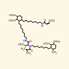 C=C(C)C(=O)N(CCCCCCCCC1C(C)CCC(CCCCCC)C1CCCCCCCC)C(CC=O)C(=O)NCCCCCCCCC1C(CCCCCCCCNC(=O)/C=C\C=O)CCC(CCCCCC)C1CCCCCCCC